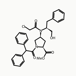 COC(=O)[C@@H]1C[C@H](N(C(=O)CCl)[C@H](CO)Cc2ccccc2)CN1C(=O)C(c1ccccc1)c1ccccc1